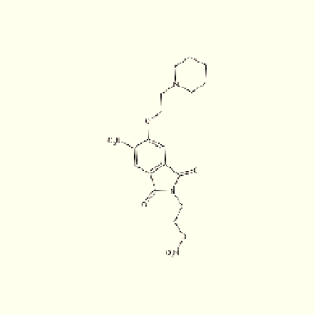 O=C1c2cc(OCCN3CCCCC3)c([N+](=O)[O-])cc2C(=O)N1CCO[N+](=O)[O-]